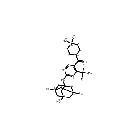 O=C(c1cnc(NC23CC4(O)CC(F)(CC(F)(C4)C2)C3)nc1C(F)(F)F)N1CCS(O)(O)CC1